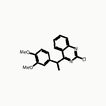 COc1ccc(C(C)c2nc(Cl)nc3ccccc23)cc1OC